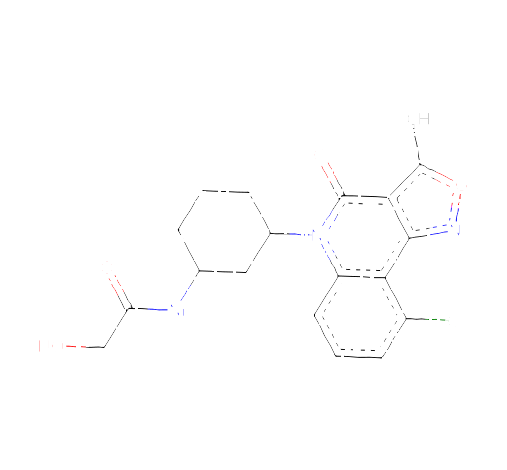 Cc1onc2c1c(=O)n(C1CCCC(NC(=O)CO)C1)c1cccc(Cl)c21